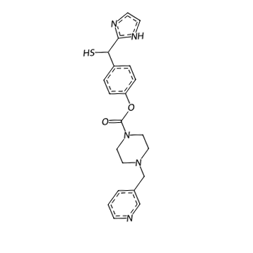 O=C(Oc1ccc(C(S)c2ncc[nH]2)cc1)N1CCN(Cc2cccnc2)CC1